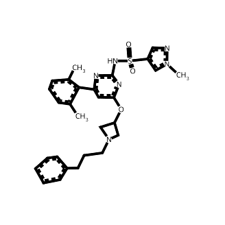 Cc1cccc(C)c1-c1cc(OC2CN(CCCc3ccccc3)C2)nc(NS(=O)(=O)c2cnn(C)c2)n1